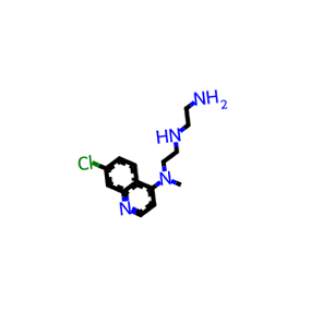 CN(CCNCCN)c1ccnc2cc(Cl)ccc12